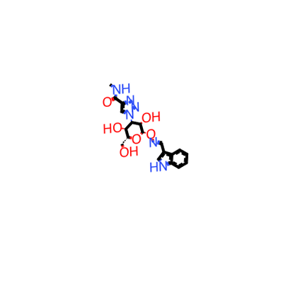 CNC(=O)c1cn([C@H]2[C@@H](O)[C@@H](CO)O[C@@H](ON=Cc3c[nH]c4ccccc34)[C@@H]2O)nn1